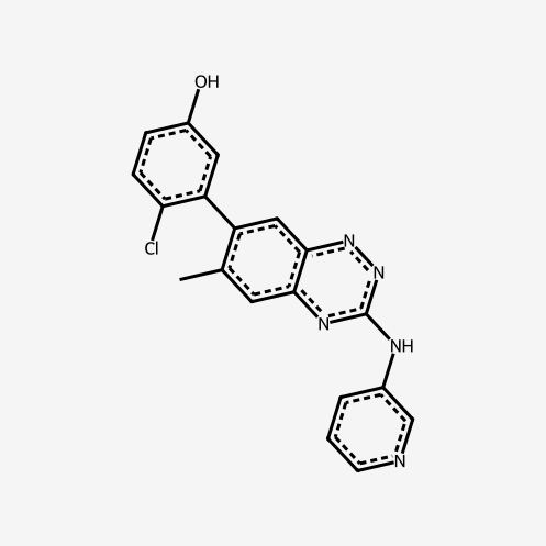 Cc1cc2nc(Nc3cccnc3)nnc2cc1-c1cc(O)ccc1Cl